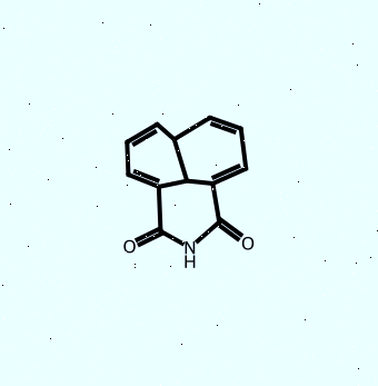 O=C1NC(=O)C2=CC=CC3C=CC=C1C23